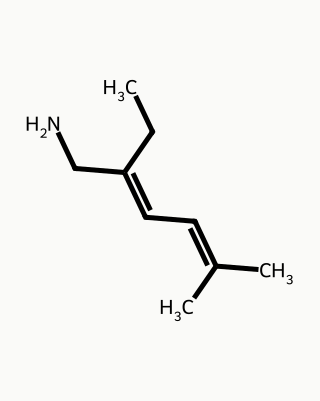 CC/C(=C\C=C(C)C)CN